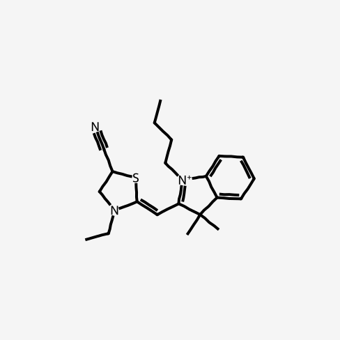 CCCC[N+]1=C(/C=C2\SC(C#N)CN2CC)C(C)(C)c2ccccc21